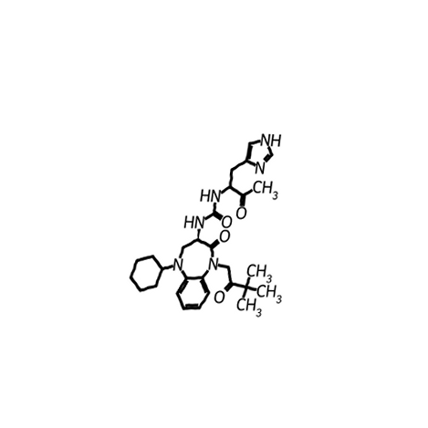 CC(=O)C(Cc1c[nH]cn1)NC(=O)N[C@@H]1CN(C2CCCCC2)c2ccccc2N(CC(=O)C(C)(C)C)C1=O